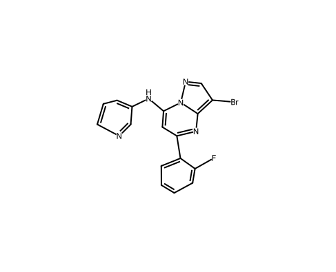 Fc1ccccc1-c1cc(Nc2cccnc2)n2ncc(Br)c2n1